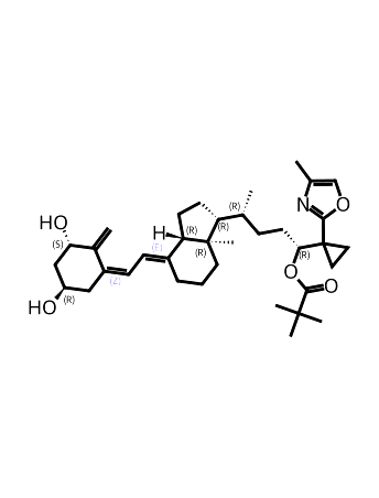 C=C1/C(=C\C=C2/CCC[C@]3(C)[C@@H]([C@H](C)CC[C@@H](OC(=O)C(C)(C)C)C4(c5nc(C)co5)CC4)CC[C@@H]23)C[C@@H](O)C[C@@H]1O